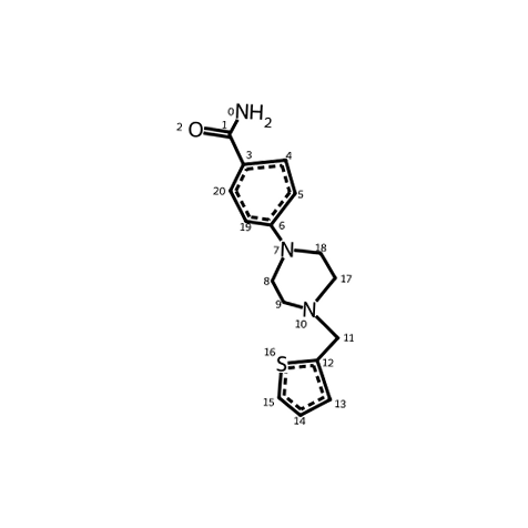 NC(=O)c1ccc(N2CCN(Cc3cccs3)CC2)cc1